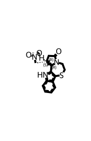 O=C1C[C@H]2[C@H](C[N+](=O)[O-])CC[C@]23c2[nH]c4ccccc4c2SCCN13